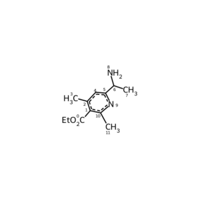 CCOC(=O)c1c(C)cc(C(C)N)nc1C